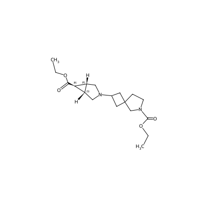 CCOC(=O)[C@H]1[C@@H]2CN(C3CC4(CCN(C(=O)OCC)C4)C3)C[C@@H]21